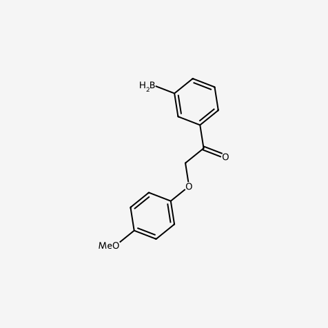 Bc1cccc(C(=O)COc2ccc(OC)cc2)c1